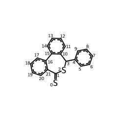 S=C1SC(c2ccccc2)c2ccccc2-c2ccccc21